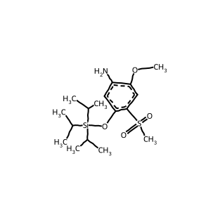 COc1cc(S(C)(=O)=O)c(O[Si](C(C)C)(C(C)C)C(C)C)cc1N